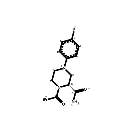 CC(C)C(=O)N1CCN(c2ccc(F)cc2)C[C@@H]1C(N)=O